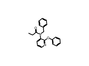 CCC(=O)N(Cc1ccccc1)c1cccnc1Oc1ccccc1